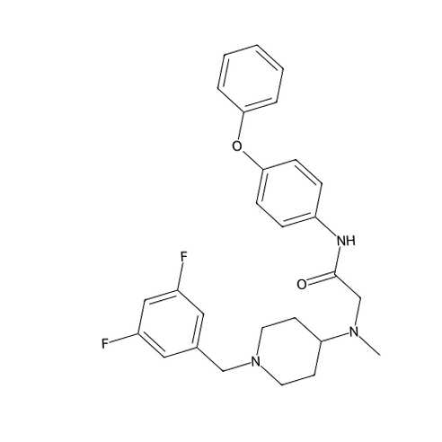 CN(CC(=O)Nc1ccc(Oc2ccccc2)cc1)C1CCN(Cc2cc(F)cc(F)c2)CC1